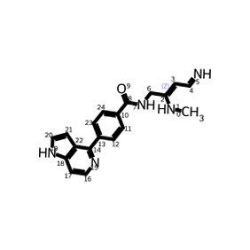 CN/C(=C\C=N)CNC(=O)c1ccc(-c2nccc3[nH]ccc23)cc1